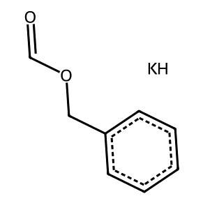 O=COCc1ccccc1.[KH]